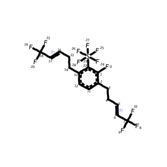 Fc1c(CC/C=C/C(F)(F)F)ccc(CC/C=C/C(F)(F)F)c1S(F)(F)(F)(F)F